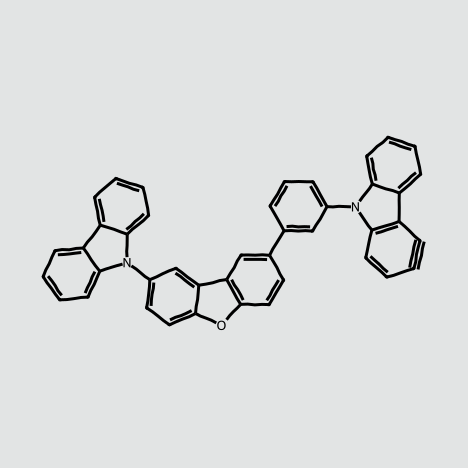 c1ccc2c(c#1)c1ccccc1n2-c1cccc(-c2ccc3oc4ccc(-n5c6ccccc6c6ccccc65)cc4c3c2)c1